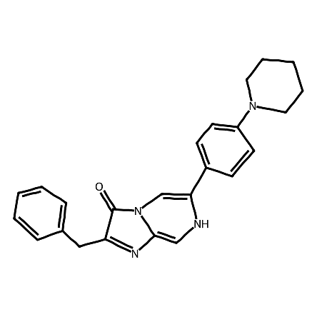 O=c1c(Cc2ccccc2)nc2c[nH]c(-c3ccc(N4CCCCC4)cc3)cn1-2